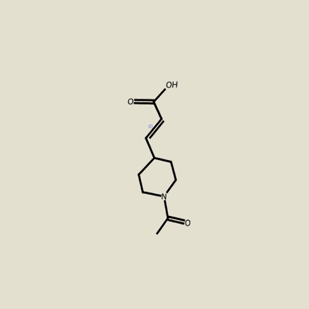 CC(=O)N1CCC(/C=C/C(=O)O)CC1